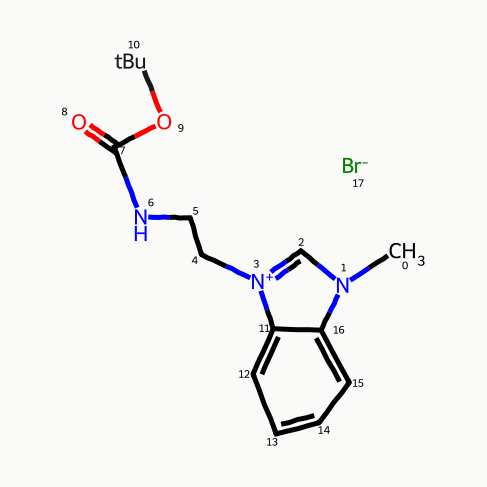 Cn1c[n+](CCNC(=O)OC(C)(C)C)c2ccccc21.[Br-]